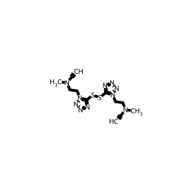 C#CN(C)CCn1nnnc1SSc1nnnn1CCN(C)C#C